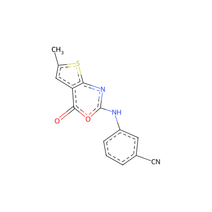 Cc1cc2c(=O)oc(Nc3cccc(C#N)c3)nc2s1